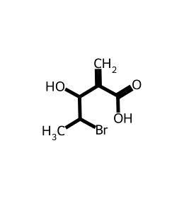 C=C(C(=O)O)C(O)C(C)Br